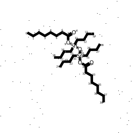 CCCCCCCC(=O)[O][Sn]([CH2]CCC)([CH2]CCC)[O][Sn]([CH2]CCC)([CH2]CCC)[O]C(=O)CCCCCCC